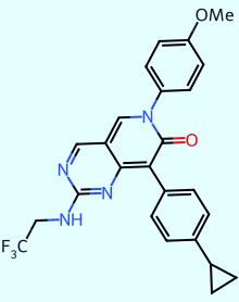 COc1ccc(-n2cc3cnc(NCC(F)(F)F)nc3c(-c3ccc(C4CC4)cc3)c2=O)cc1